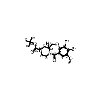 COc1cc2c(c(F)c1Br)OC[C@H]1CN(C(=O)OC(C)(C)C)CCN1C2=O